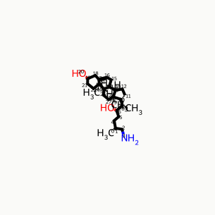 CC(CN)CCC(O)[C@@H](C)[C@H]1CC[C@H]2[C@@H]3CC=C4CC(O)CC[C@]4(C)[C@H]3CC[C@]12C